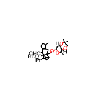 CC(C)C1=CC2CC3(C=O)C4CCC(C)C4CC2(CO[C@H]2C[C@@H]4OC(C)(C)CO[C@H]4[C@@H](C)O2)C13C(=O)O